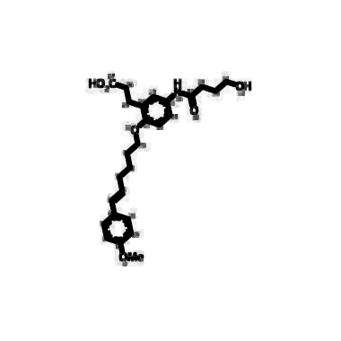 COc1ccc(/C=C/CCCCOc2ccc(NC(=O)CCCO)cc2CCC(=O)O)cc1